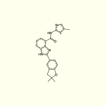 Cc1cnc(NC(=O)c2cccc3[nH]c(-c4ccc5c(c4)CC(C)(C)O5)nc23)s1